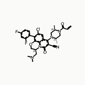 C=CC(=O)N1C[C@H](C)N(c2c(C#N)c(=O)n3c4c(c(-c5ccc(F)cc5F)c(Cl)cc24)OC[C@@H]3CN(C)C)C[C@H]1C